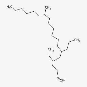 [CH]=CCCC(CC)CC(CCC)CCCCCCC(C)CCCCCC